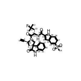 C#C[C@@H]1C[C@@]2(CN1C(=O)[C@H](CC(C)(C)F)NC(=O)c1cc3cc(S(C)(=O)=O)ccc3[nH]1)C(=O)Nc1ccccc12